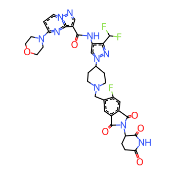 O=C1CCC(N2C(=O)c3cc(F)c(CN4CCC(n5cc(NC(=O)c6cnn7ccc(N8CCOCC8)nc67)c(C(F)F)n5)CC4)cc3C2=O)C(=O)N1